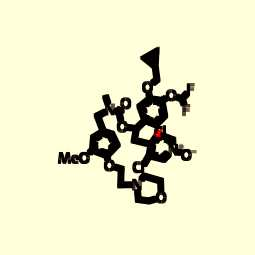 COc1cc(CN(C)C(=O)OC(Cc2c(Cl)c[n+]([O-])cc2Cl)c2ccc(OC(F)F)c(OCC3CC3)c2)ccc1OCCN1CCOCC1